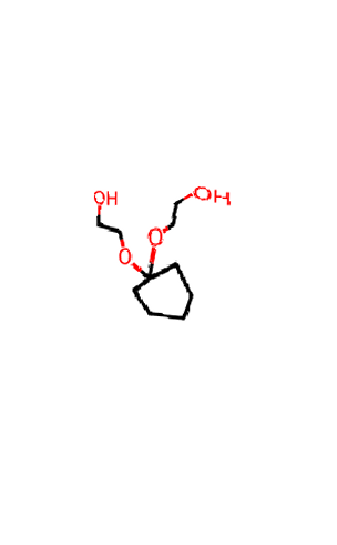 OCCOC1(OCCO)CCCCC1